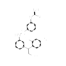 N=C(N)Nc1cccc(S(=O)(=O)Nc2cccc(C(CC(=O)[O-])c3ccccc3O)c2)c1.[Na+]